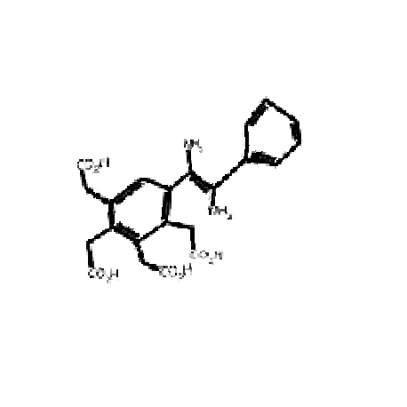 NC(=C(N)c1cc(CC(=O)O)c(CC(=O)O)c(CC(=O)O)c1CC(=O)O)c1ccccc1